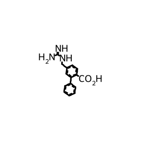 N=C(N)NCc1ccc(C(=O)O)c(-c2ccccc2)c1